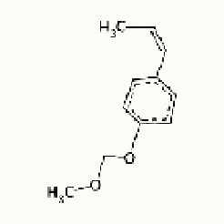 C/C=C\c1ccc(OCOC)cc1